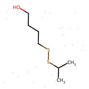 CC(C)SSCCCCO